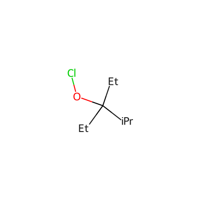 CCC(CC)(OCl)C(C)C